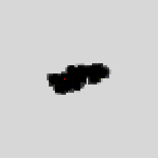 c1ccc(-c2c3c4cccc5c6c(-c7ccc(N(c8ccccc8)c8cccc9c8sc8ccccc89)cc7)cccc6n(c3c(-c3ccccc3)c3c6cccc7c8c(N(c9ccccc9)c9cccc%10c9sc9ccccc9%10)cccc8n(c23)c76)c54)cc1